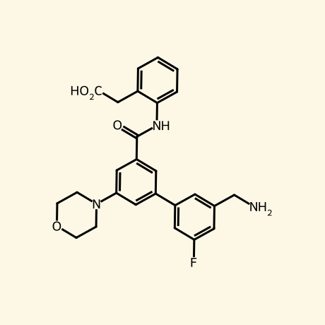 NCc1cc(F)cc(-c2cc(C(=O)Nc3ccccc3CC(=O)O)cc(N3CCOCC3)c2)c1